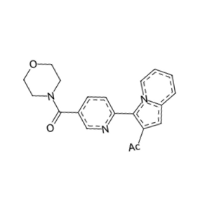 CC(=O)c1cc2ccccn2c1-c1ccc(C(=O)N2CCOCC2)cn1